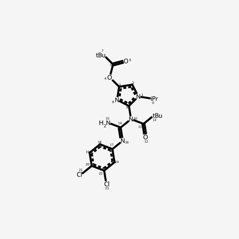 CC(C)n1cc(OC(=O)C(C)(C)C)nc1N(C(=O)C(C)(C)C)C(N)=Nc1ccc(Cl)c(Cl)c1